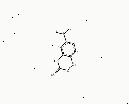 CC(C)c1ccc2c(n1)NC(=O)CO2